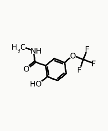 CNC(=O)c1cc(OC(F)(F)F)ccc1O